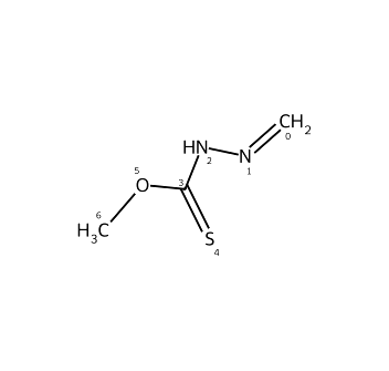 C=NNC(=S)OC